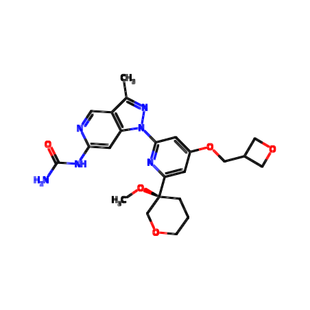 CO[C@@]1(c2cc(OCC3COC3)cc(-n3nc(C)c4cnc(NC(N)=O)cc43)n2)CCCOC1